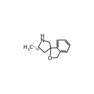 C[C@H]1CC2(CN1)OCc1ccccc12